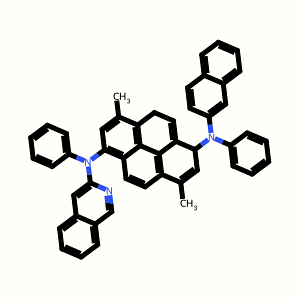 CC1=CC(N(c2ccccc2)c2ccc3ccccc3c2)C2=CCc3c(C)cc(N(c4ccccc4)c4cc5ccccc5cn4)c4ccc1c2c34